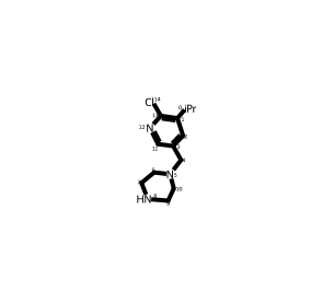 CC(C)c1cc(CN2CCNCC2)cnc1Cl